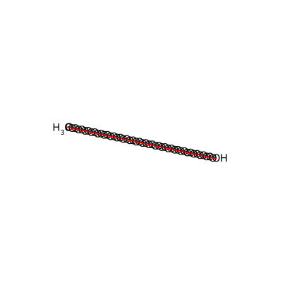 COCCOCCOCCOCCOCCOCCOCCOCCOCCOCCOCCOCCOCCOCCOCCOCCOCCOCCOCCOCCOCCOCCOCCOCCOCCOCCOCCOCCOCCOCCOCCOCCOCCOCCOCCOCCOCCOCCOCCOCCOCCOCCOCCOCCOCCOCCO